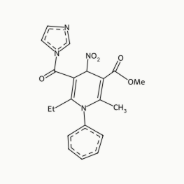 CCC1=C(C(=O)n2ccnc2)C([N+](=O)[O-])C(C(=O)OC)=C(C)N1c1ccccc1